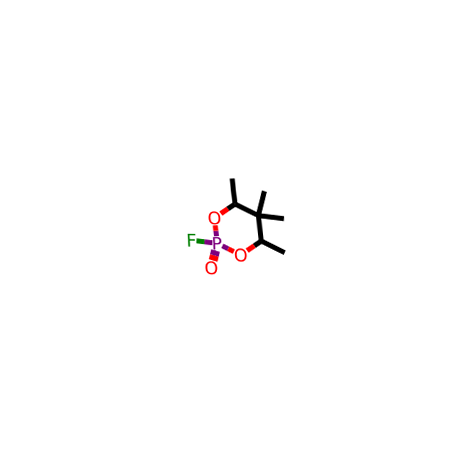 CC1OP(=O)(F)OC(C)C1(C)C